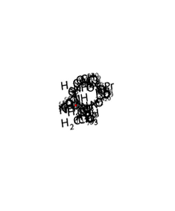 C=CC(C)(C)n1cc(C[C@@H]2NC(=O)[C@H](Cc3ccccc3)NC(=O)[C@H](CC(C)C)N3CC/C=C\C[C@@H](C3=O)N(C)C(=O)[C@H](C)NC(=O)[C@H](Cc3ccc4cnccc4c3)NC(=O)[C@H](CC(C)C)N(C)C2=O)c2ccccc21